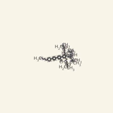 C=C(C)C(=O)OCCCc1cc(-c2ccc(-c3ccc(C4CCC(CCCCC)CC4)cc3)cc2CC)cc(CCCOC(=O)C(=C)C)c1OCC(CO)(COC(=O)C(=C)C)COC(=O)C(=C)C